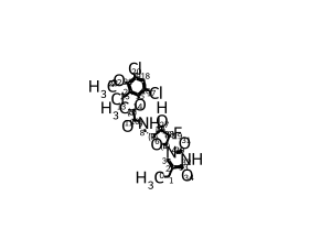 CCc1cn([C@@H]2O[C@H](CNC(=O)[C@H](C)Oc3c(Cl)cc(Cl)c(OC)c3Cl)[C@@H](O)[C@@H]2F)c(=O)[nH]c1=O